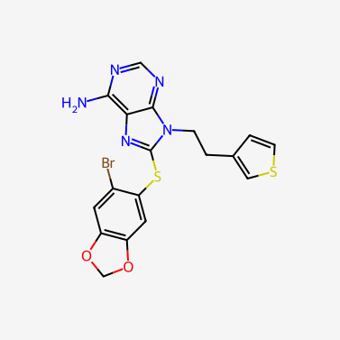 Nc1ncnc2c1nc(Sc1cc3c(cc1Br)OCO3)n2CCc1ccsc1